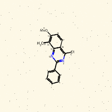 CCc1nc(-c2ccccc2)nc2c(C)c(OC)ccc12